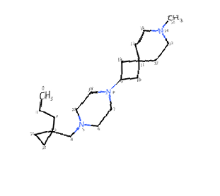 CCCC1(CN2CCN(C3CC4(CCN(C)CC4)C3)CC2)CC1